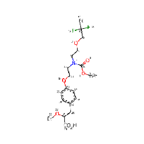 CCCOC(=O)N(CCOCC(F)(F)CC)CCOc1ccc(CC(OCC)C(=O)O)cc1